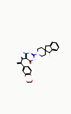 C=C(c1ccc2c(c1)OCCO2)c1n[nH]c2nc(N3CCC4(CC3)Cc3ccccc3[C@H]4N)[nH]c(=O)c12